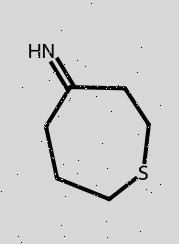 N=C1CCCSCC1